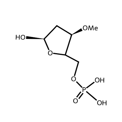 CO[C@@H]1C[C@H](O)OC1COP(=O)(O)O